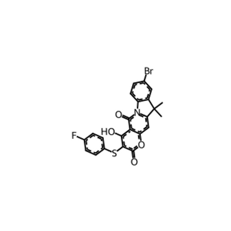 CC1(C)c2cc(Br)ccc2-n2c1cc1oc(=O)c(Sc3ccc(F)cc3)c(O)c1c2=O